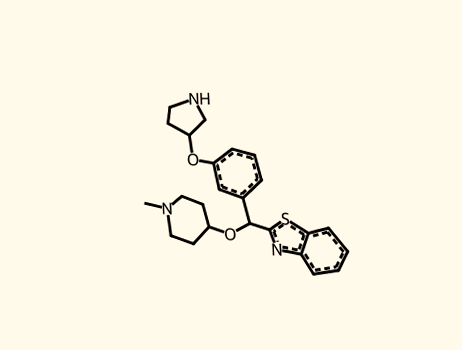 CN1CCC(OC(c2cccc(OC3CCNC3)c2)c2nc3ccccc3s2)CC1